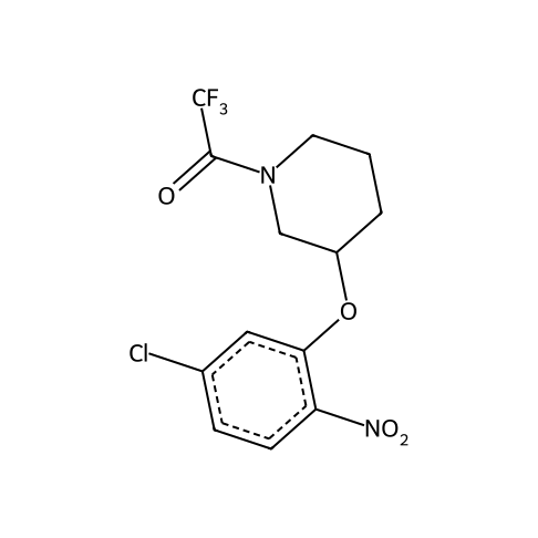 O=C(N1CCCC(Oc2cc(Cl)ccc2[N+](=O)[O-])C1)C(F)(F)F